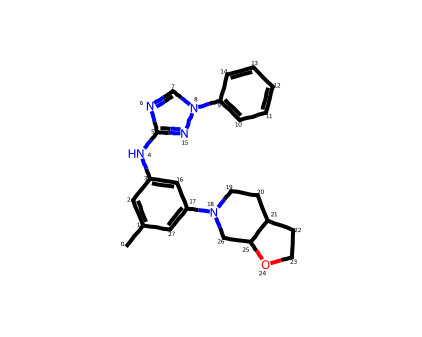 Cc1cc(Nc2ncn(-c3ccccc3)n2)cc(N2CCC3CCOC3C2)c1